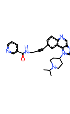 CC(C)N1CCC(n2cnc3cnc4ccc(C#CCNC(=O)c5cccnc5)cc4c32)CC1